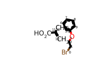 BrCCOc1ccccc1.C=C(C)C(=O)O